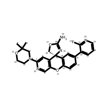 CC1(C)CN(c2cc3c(cn2)Oc2ccc(-c4cccnc4F)cc2[C@@]32COC(N)=N2)CCO1